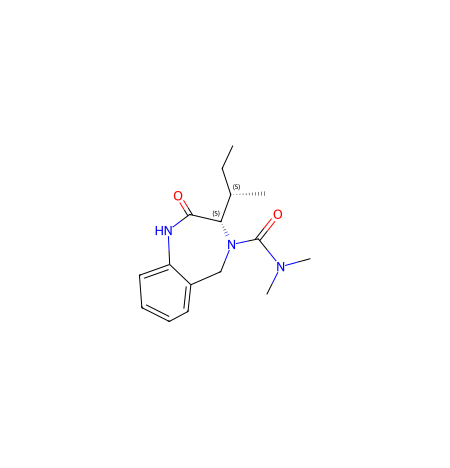 CC[C@H](C)[C@H]1C(=O)Nc2ccccc2CN1C(=O)N(C)C